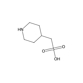 O=S(=O)(O)CC1CCNCC1